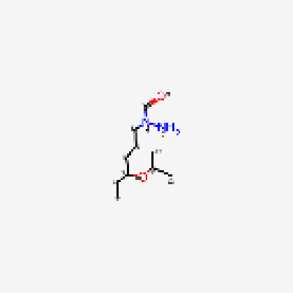 CCC(CCCN(N)C=O)OC(C)C